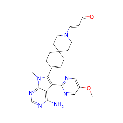 COc1cnc(-c2c(C3=CCC4(CC3)CCN(C=CC=O)CC4)n(C)c3ncnc(N)c23)nc1